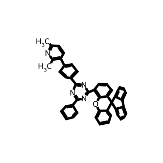 Cc1ccc(-c2ccc(-c3nc(-c4ccccc4)nc(-c4cccc5c4Oc4ccccc4C54c5ccccc5-c5ccccc54)n3)cc2)c(C)n1